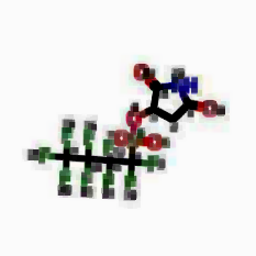 O=C1CC(OS(=O)(=O)C(F)(F)C(F)(F)C(F)(F)C(F)(F)F)C(=O)N1